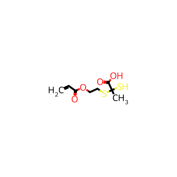 C=CC(=O)OCCSC(C)(S)C(=O)O